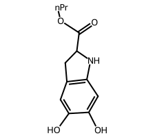 CCCOC(=O)C1Cc2cc(O)c(O)cc2N1